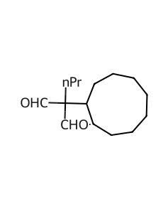 CCCC([C]=O)(C=O)C1CCCCCCCC1